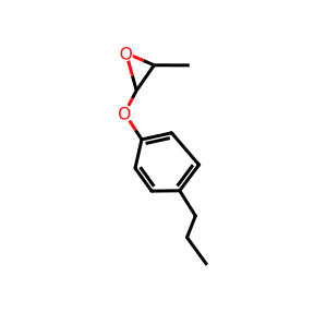 CCCc1ccc(OC2OC2C)cc1